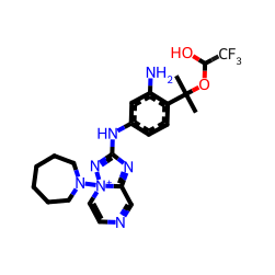 CC(C)(OC(O)C(F)(F)F)c1ccc(NC2=N[N+]3(N4CCCCCC4)C=CN=CC3=N2)cc1N